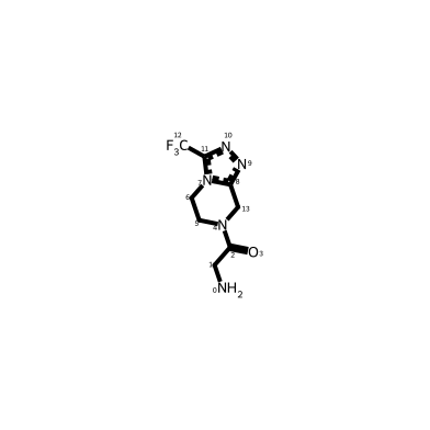 NCC(=O)N1CCn2c(nnc2C(F)(F)F)C1